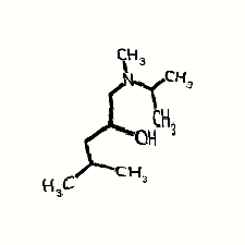 CC(C)CC(O)CN(C)C(C)C